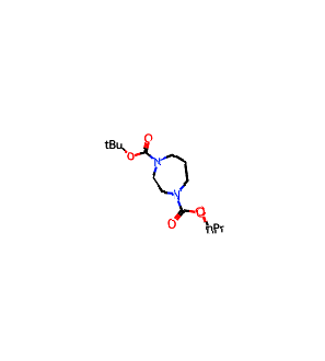 CCCOC(=O)N1CCCN(C(=O)OC(C)(C)C)CC1